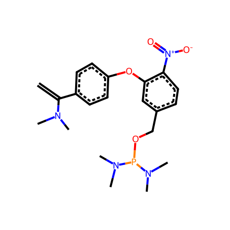 C=C(c1ccc(Oc2cc(COP(N(C)C)N(C)C)ccc2[N+](=O)[O-])cc1)N(C)C